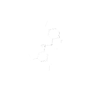 CCc1ccc(F)c(C(=O)Nc2cc(OC)cc(OC)c2)c1